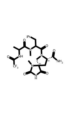 CC(C)CC(C(=O)N1C[C@]2(C[C@H]1C(N)=O)C(=O)NC(=O)N2C)N(C)C(=O)C(C)NC(=O)C(F)(F)F